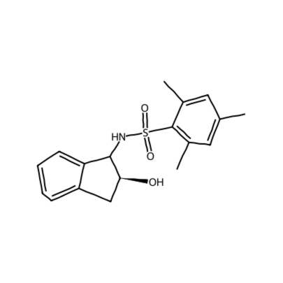 Cc1cc(C)c(S(=O)(=O)NC2c3ccccc3C[C@@H]2O)c(C)c1